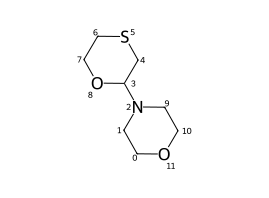 C1CN(C2CSCCO2)CCO1